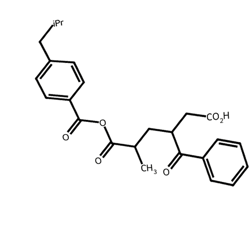 CC(C)Cc1ccc(C(=O)OC(=O)C(C)CC(CC(=O)O)C(=O)c2ccccc2)cc1